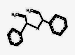 C=CC([N]C(C=C)c1ccccc1)c1ccccc1